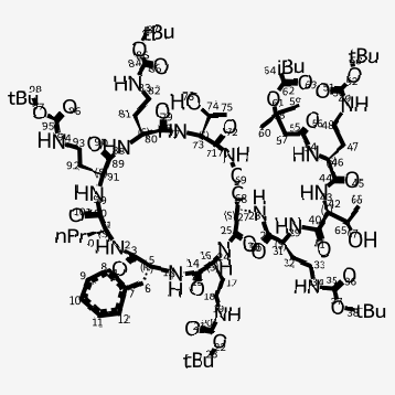 CCC[C@@H]1NC(=O)[C@@H](Cc2ccccc2)NC(=O)[C@H](CCNC(=O)OC(C)(C)C)NC(=O)[C@@H](NC(=O)[C@H](CCNC(=O)OC(C)(C)C)NC(=O)[C@@H](NC(=O)[C@H](CCNC(=O)OC(C)(C)C)NC(=O)CC(C)(C)OC(=O)C(C)CC)C(C)O)CCNC(=O)[C@H](C(C)O)NC(=O)[C@H](CCNC(=O)OC(C)(C)C)NC(=O)[C@H](CCNC(=O)OC(C)(C)C)NC1=O